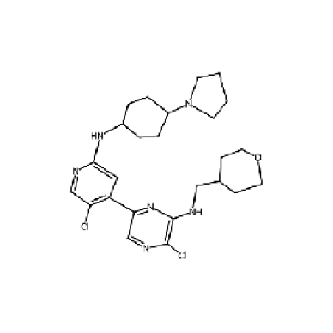 Clc1cnc(NC2CCC(N3CCCC3)CC2)cc1-c1cnc(Cl)c(NCC2CCOCC2)n1